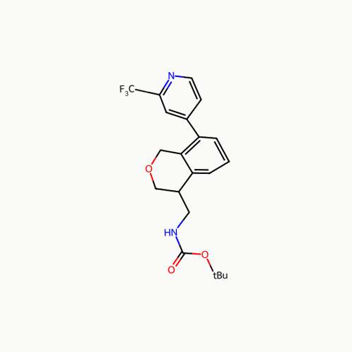 CC(C)(C)OC(=O)NCC1COCc2c(-c3ccnc(C(F)(F)F)c3)cccc21